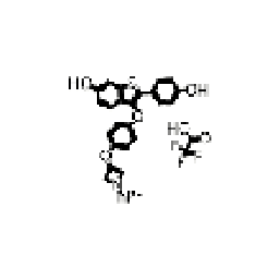 CCCN1CC(Oc2ccc(Oc3c(-c4ccc(O)cc4)sc4cc(O)ccc34)cc2)C1.O=C(O)C(F)(F)F